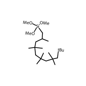 CO[Si](CC(C)CC(C)(C)CC(C)(C)CC(C)(C)CC(C)(C)C)(OC)OC